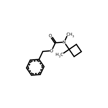 CN(C(=O)OCc1ccccc1)C1(C)CCC1